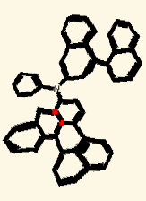 c1ccc(N(c2ccc(-c3cccc4cccc(-c5cccc6ccccc56)c34)cc2)c2cc(-c3cccc4ccccc34)c3ccccc3c2)cc1